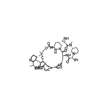 CCn1c(-c2cccnc2[C@H](C)OC)c2c3cc(ccc31)-c1csc(n1)C[C@H](NC(=O)[C@H](C(C)C)N1CCC[C@@H](N(C)C(=O)[C@H]3CN3)C1)C(=O)N1CCC[C@H](N1)C(=O)OCC(C)(C)C2